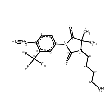 CC1(C)C(=O)N(c2ccc([14C]#N)c(C(F)(F)F)c2)C(=O)N1CCCCO